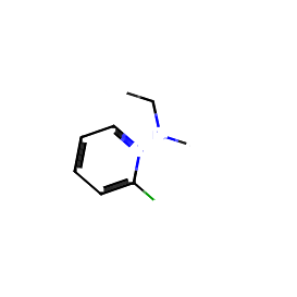 Brc1ccccn1.O=CNCC(=O)O